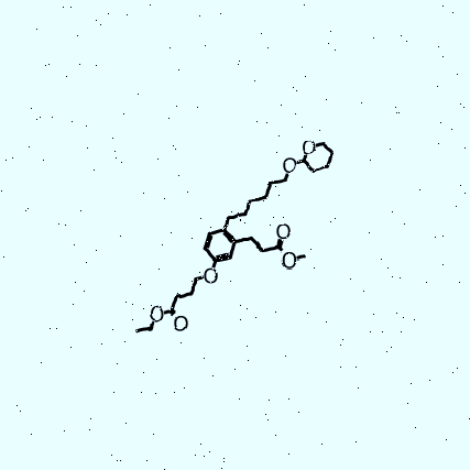 CCOC(=O)CCCOc1ccc(CCCCCCOC2CCCCO2)c(CCC(=O)OC)c1